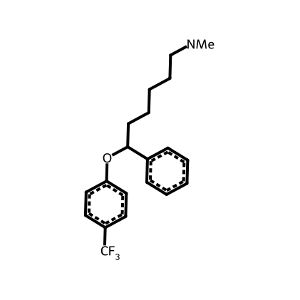 CNCCCCCC(Oc1ccc(C(F)(F)F)cc1)c1ccccc1